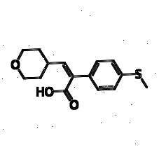 CSc1ccc(C(=CC2CCOCC2)C(=O)O)cc1